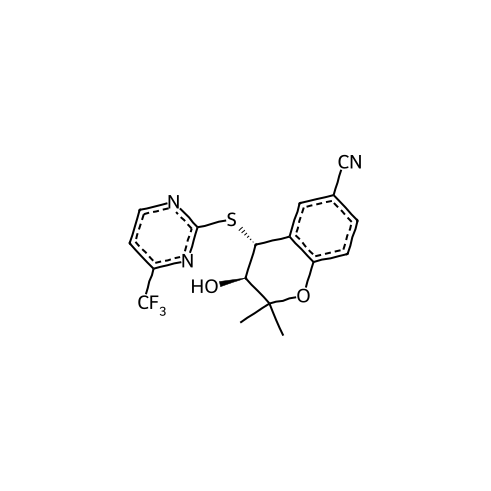 CC1(C)Oc2ccc(C#N)cc2[C@@H](Sc2nccc(C(F)(F)F)n2)[C@@H]1O